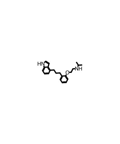 CC(C)NCCOc1ccccc1CCCc1cccc2[nH]ccc12